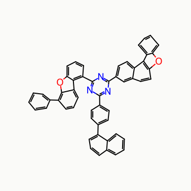 c1ccc(-c2cccc3c2oc2cccc(-c4nc(-c5ccc(-c6cccc7ccccc67)cc5)nc(-c5ccc6c(ccc7oc8ccccc8c76)c5)n4)c23)cc1